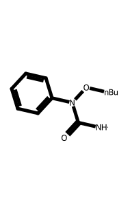 CCCCON(C([NH])=O)c1ccccc1